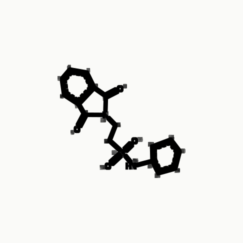 O=C1c2ccccc2C(=O)N1CCS(=O)(=O)Nc1ccccc1